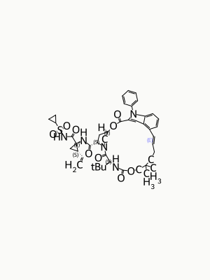 C=C[C@@H]1C[C@]1(NC(=O)[C@@H]1C[C@@H]2CN1C(=O)[C@H](C(C)(C)C)NC(=O)OCC(C)(C)CC/C=C/c1cccc3c1cc(n3-c1ccccc1)C(=O)O2)C(=O)NS(=O)(=O)C1CC1